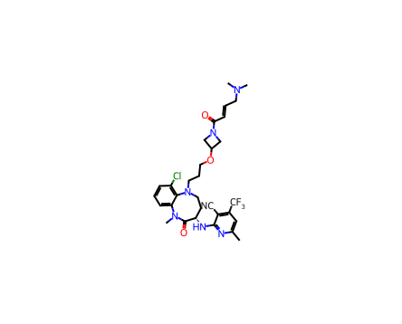 Cc1cc(C(F)(F)F)c(C#N)c(N[C@H]2CCN(CCCOC3CN(C(=O)/C=C/CN(C)C)C3)c3c(Cl)cccc3N(C)C2=O)n1